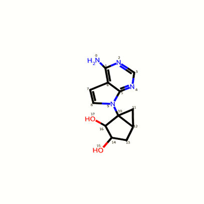 Nc1ncnc2c1ccn2C12CC1CC(O)C2O